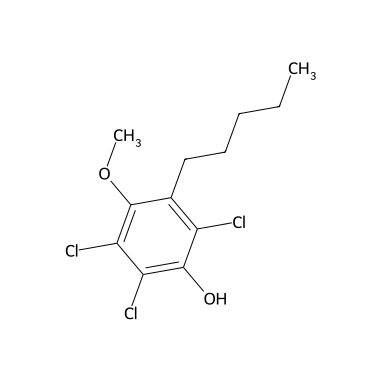 CCCCCc1c(Cl)c(O)c(Cl)c(Cl)c1OC